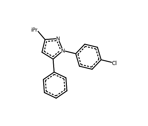 CC(C)c1cc(-c2ccccc2)n(-c2ccc(Cl)cc2)n1